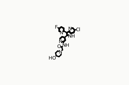 O=C(CN1CCC(O)CC1)Nc1cc(-c2[nH]c3cc(Cl)cnc3c2-c2ccc(F)cn2)ccn1